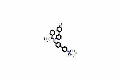 C=C(C1CCCCC1)N(Cc1ccc(-c2ccc(N(C)C)cc2)cc1)c1cccc(-c2ccc(CC)cc2)c1